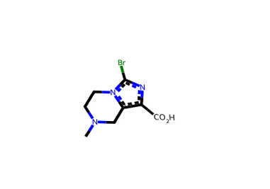 CN1CCn2c(Br)nc(C(=O)O)c2C1